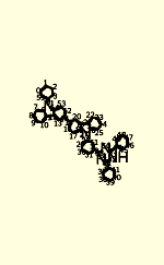 C1=CCCC(n2c3ccccc3c3cc(-c4ccc5c(c4)c4ccccc4n5-c4cccc(C5=NC(c6ccccc6)NC(c6ccccc6)=N5)c4)ccc32)=C1